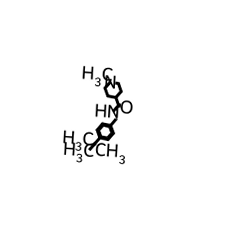 CN1CCC(C(=O)NCc2ccc(C(C)(C)C)cc2)CC1